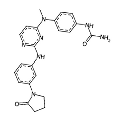 CN(c1ccc(NC(N)=O)cc1)c1ccnc(Nc2cccc(N3CCCC3=O)c2)n1